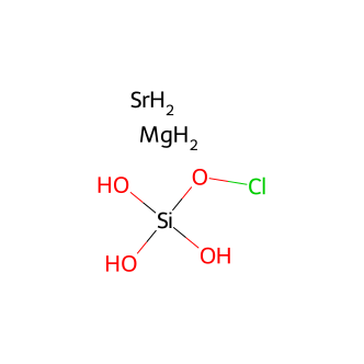 O[Si](O)(O)OCl.[MgH2].[SrH2]